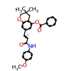 COc1ccc(NC(=O)/C=C/c2cc3c(c(OC(=O)c4ccccc4)c2)CC(C)(C)CO3)cc1